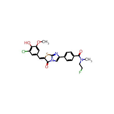 COc1cc(/C=c2\sc3nc(-c4ccc(C(=O)N(C)CCF)cc4)cn3c2=O)cc(Cl)c1O